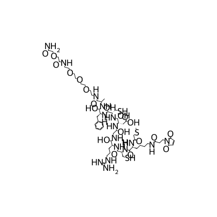 CSCC(=O)N[C@@H](CCCCNC(=O)CCN1C(=O)C=CC1=O)C(=O)N[C@@H](CS)C(=O)N[C@@H](CCCNC(=N)N)C(O)NCC(O)N[C@@H](CC(=O)O)C(O)N[C@@H](CS)C(O)N[C@@H](Cc1ccccc1)C(O)NC(C)C(=O)NCCOCCOCCOCCNC(=O)COCC(N)=O